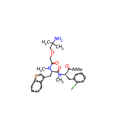 CNC(=O)[C@@H](Cc1ccccc1F)N(C)C(=O)[C@@H](Cc1csc2ccccc12)N(C)C(=O)COCC(C)(C)N